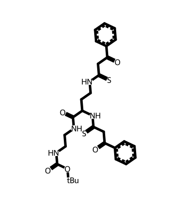 CC(C)(C)OC(=O)NCCNC(=O)C(CCNC(=S)CC(=O)c1ccccc1)NC(=S)CC(=O)c1ccccc1